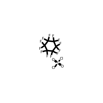 FC1(F)C(F)(F)C(F)(F)C(F)(F)C(F)(F)C1(F)F.O=S(=O)(Cl)Cl